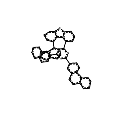 c1ccc(-c2nc(-c3ccc4c(ccc5ccccc54)c3)nc(-c3cccc4oc5cccc(-c6cccc7oc8ccccc8c67)c5c34)n2)cc1